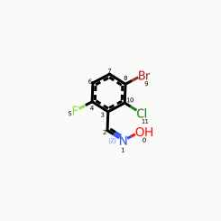 O/N=C\c1c(F)ccc(Br)c1Cl